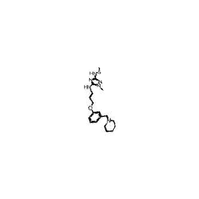 CSNc1nc(NCCCOc2cccc(CN3CCCCC3)c2)n(C)n1